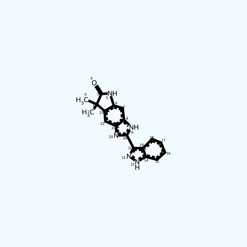 CC1(C)C(=O)Nc2cc3[nH]c(-c4n[nH]c5ccccc45)nc3cc21